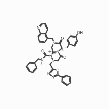 O=C1[C@H](Cc2ccc(O)cc2)N2C(=O)CN(Cc3nnc(-c4ccccc4)o3)N(C(=O)NCc3ccccc3)[C@H]2CN1Cc1cccc2ncccc12